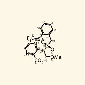 COCN(c1nccnc1C(=O)O)S(=O)(=O)Cc1ccccc1SC(F)(F)F